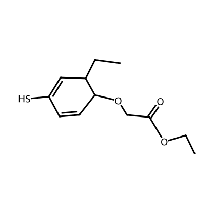 CCOC(=O)COC1C=CC(S)=CC1CC